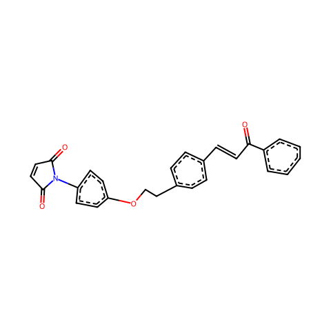 O=C(/C=C/c1ccc(CCOc2ccc(N3C(=O)C=CC3=O)cc2)cc1)c1ccccc1